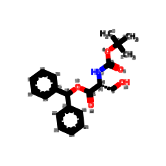 CC(C)(C)OC(=O)N[C@H](CO)C(=O)OC(c1ccccc1)c1ccccc1